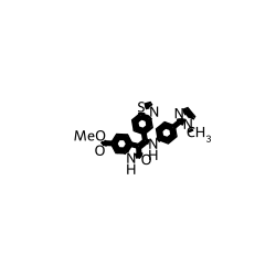 COC(=O)c1ccc2c(c1)NC(=O)/C2=C(\Nc1ccc(-c2nccn2C)cc1)c1ccc2scnc2c1